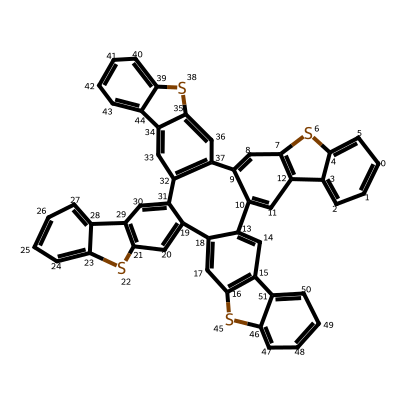 c1ccc2c(c1)sc1cc3c(cc12)-c1cc2c(cc1-c1cc4sc5ccccc5c4cc1-c1cc4c(cc1-3)sc1ccccc14)sc1ccccc12